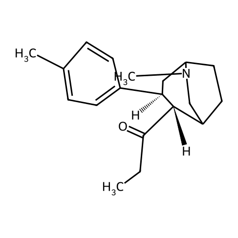 CCC(=O)[C@H]1C2CCC(C[C@@H]1c1ccc(C)cc1)N(C)C2